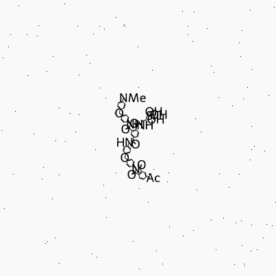 CNc1ccc(Oc2ccc(NC(=O)c3cc(C(=O)Nc4ccc(Oc5ccc(N6C(=O)c7ccc(C(C)=O)cc7C6=O)cc5)cc4)ccc3C(=O)NCCC[Si](O)(O)O)cc2)cc1